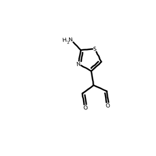 Nc1nc(C(C=O)C=O)cs1